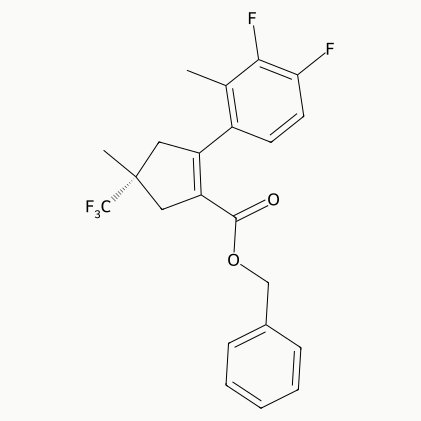 Cc1c(C2=C(C(=O)OCc3ccccc3)C[C@](C)(C(F)(F)F)C2)ccc(F)c1F